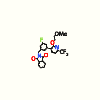 COCCOc1nc(C(F)(F)F)ccc1-c1cc(F)cc(CN2C(=O)c3ccccc3C2=O)c1